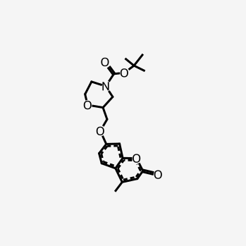 Cc1cc(=O)oc2cc(OCC3CN(C(=O)OC(C)(C)C)CCO3)ccc12